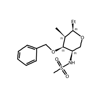 CC[C@H]1OC[C@@H](NS(C)(=O)=O)[C@@H](OCc2ccccc2)[C@H]1C